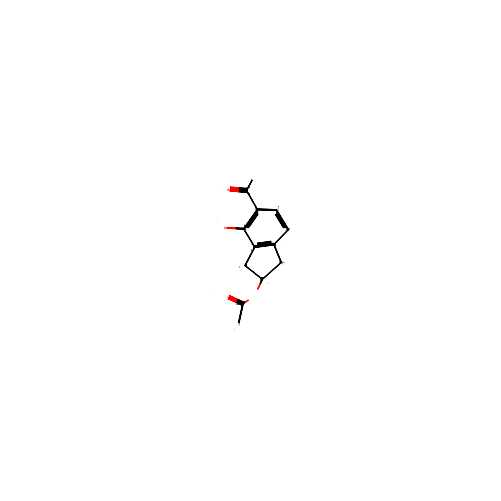 CC(=O)OC1Cc2ccc(C(C)=O)c(O)c2C1